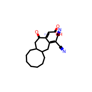 N#CC(C#N)=C1CC2CCCCCCCC2CC(=O)/C1=C/C(=O)O